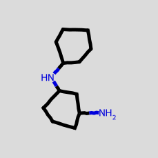 NC1CCCC(NC2CCCCC2)C1